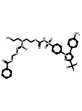 Cc1ccc(-c2cc(C(F)(F)F)nn2-c2ccc(S(=O)(=O)NC(=O)OCCN(CCO)/[N+]([O-])=N/OCOC(=O)c3ccccc3)cc2)cc1